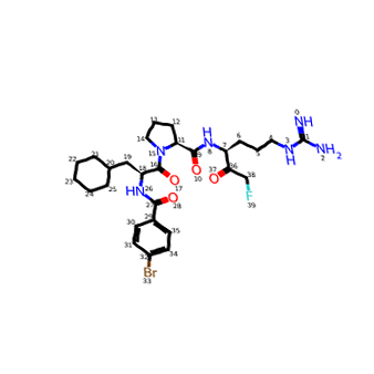 N=C(N)NCCC[C@H](NC(=O)[C@@H]1CCCN1C(=O)[C@H](CC1CCCCC1)NC(=O)c1ccc(Br)cc1)C(=O)CF